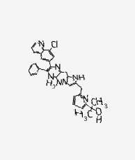 CC(C)(O)c1cccc(Cc2cnc(Cc3nc(-c4cc(Cl)c5ncccc5c4)c(-c4ccccc4)nc3N)[nH]2)n1